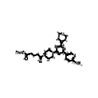 COC(=O)CCCC(=O)N1CCN(c2nc(-c3ccc(N)nc3)nc(N3CCOCC3)n2)CC1